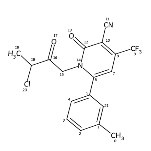 Cc1cccc(-c2cc(C(F)(F)F)c(C#N)c(=O)n2CC(=O)C(C)Cl)c1